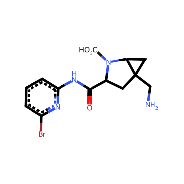 NCC12CC(C(=O)Nc3cccc(Br)n3)N(C(=O)O)C1C2